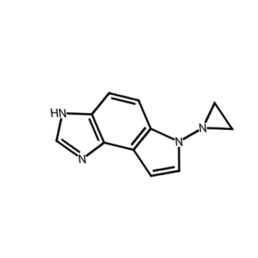 c1nc2c(ccc3c2ccn3N2CC2)[nH]1